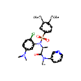 CCN(C(=O)C(C)N(c1cc(N(C)C)ccc1Cl)S(=O)(=O)c1ccc(OC)c(OC)c1)c1cccnc1